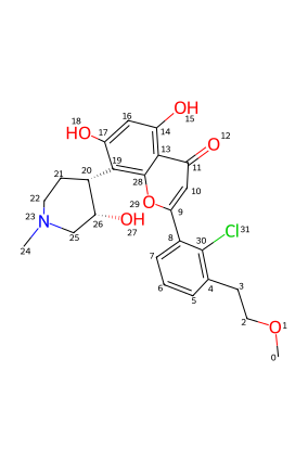 COCCc1cccc(-c2cc(=O)c3c(O)cc(O)c([C@H]4CCN(C)C[C@H]4O)c3o2)c1Cl